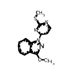 COc1nn(-c2ccnc(SC)n2)c2ccccc12